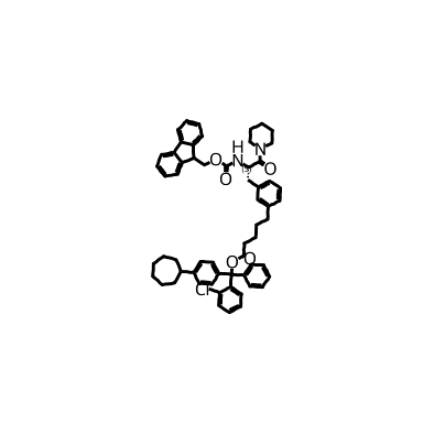 O=C(CCCCc1cccc(C[C@H](NC(=O)OCC2c3ccccc3-c3ccccc32)C(=O)N2CCCCC2)c1)OC(c1ccccc1)(c1ccc(C2CCCCCC2)cc1)c1ccccc1Cl